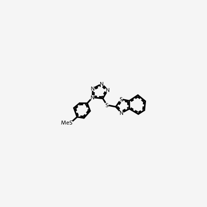 CSc1ccc(-n2nnnc2Sc2nc3ccccc3s2)cc1